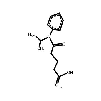 C=C(O)CCCC(=O)N(c1ccccc1)C(C)C